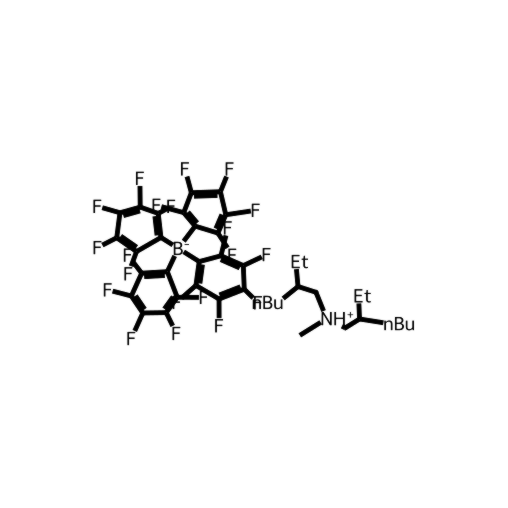 CCCCC(CC)C[NH+](C)CC(CC)CCCC.Fc1c(F)c(F)c([B-](c2c(F)c(F)c(F)c(F)c2F)(c2c(F)c(F)c(F)c(F)c2F)c2c(F)c(F)c(F)c(F)c2F)c(F)c1F